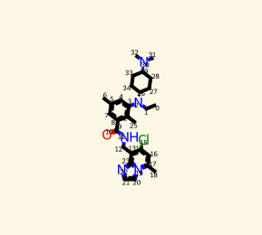 CCN(c1cc(C)cc(C(=O)NCc2c(Cl)cc(C)n3ccnc23)c1C)[C@H]1CC[C@H](N(C)C)CC1